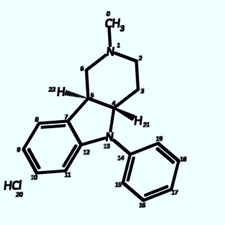 CN1CC[C@H]2[C@H](C1)c1ccccc1N2c1ccccc1.Cl